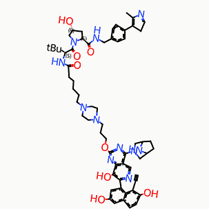 C#Cc1c(O)ccc2cc(O)cc(-c3ncc4c(N5CC6CCC(C5)N6)nc(OCCCN5CCN(CCCCCC(=O)N[C@H](C(=O)N6C[C@H](O)C[C@H]6C(=O)NCc6ccc(C7=C(C)N=CC7)cc6)C(C)(C)C)CC5)nc4c3O)c12